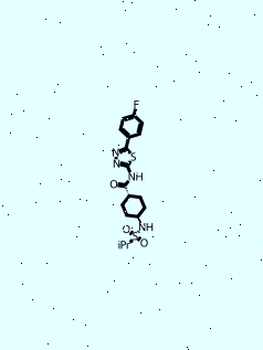 CC(C)S(=O)(=O)N[C@H]1CC[C@H](C(=O)Nc2nnc(-c3ccc(F)cc3)s2)CC1